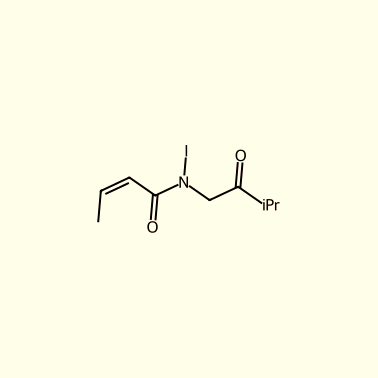 C/C=C\C(=O)N(I)CC(=O)C(C)C